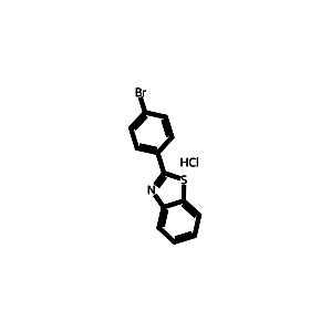 Brc1ccc(-c2nc3ccccc3s2)cc1.Cl